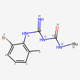 Cc1cccc(Br)c1NC(=N)NC(=O)NC(C)(C)C